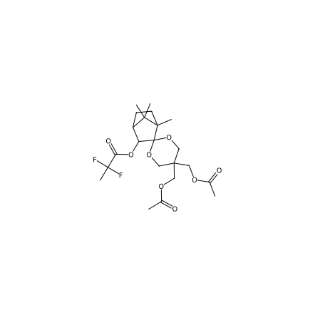 CC(=O)OCC1(COC(C)=O)COC2(OC1)C(OC(=O)C(C)(F)F)C1CCC2(C)C1(C)C